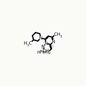 C=NN1C(N2CCCC(C)C2)=CC(C)=N/C1=C/CCCCC